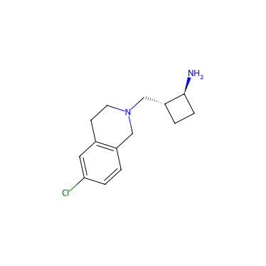 N[C@H]1CC[C@@H]1CN1CCc2cc(Cl)ccc2C1